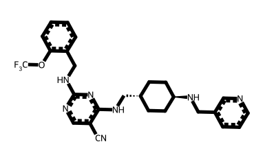 N#Cc1cnc(NCc2ccccc2OC(F)(F)F)nc1NC[C@H]1CC[C@H](NCc2cccnc2)CC1